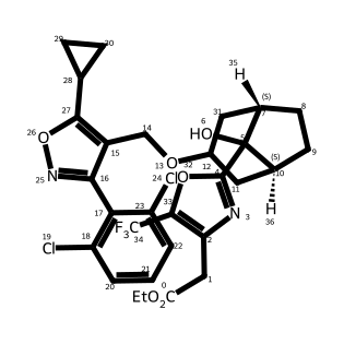 CCOC(=O)Cc1nc(C2(O)[C@H]3CC[C@H]2CC(OCc2c(-c4c(Cl)cccc4Cl)noc2C2CC2)C3)oc1C(F)(F)F